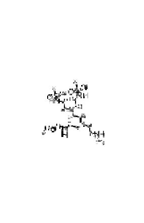 CCNCCN(CCNSOOC)CCN(CCNS(C)(=O)=O)CCNS(C)(=O)=O